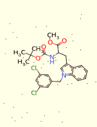 COC(=O)C(Cc1cn(Cc2cc(Cl)cc(Cl)c2)c2ccccc12)NC(=O)OC(C)(C)C